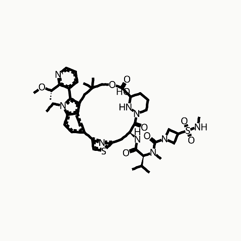 CCn1c(-c2cccnc2[C@H](C)OC)c2c3cc(ccc31)-c1csc(n1)C[C@H](NC(=O)[C@H](C(C)C)N(C)C(=O)N1CC(S(=O)(=O)NC)C1)C(=O)N1CCC[C@@](O)(N1)C(=O)OCC(C)(C)C2